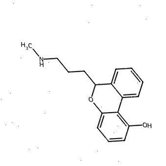 CNCCCC1Oc2cccc(O)c2-c2ccccc21